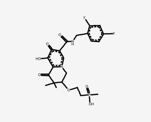 CC1(C)C(=O)c2c(O)c(=O)c(C(=O)NCc3ccc(F)cc3F)cn2CC1OCCP(C)(=O)O